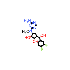 CN(c1ncnc(N)n1)C1CC(C(O)c2ccc(F)c(F)c2)[C@@H](O)C1O